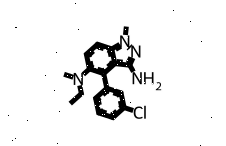 CCN(C)c1ccc2c(c(N)nn2C)c1-c1cccc(Cl)c1